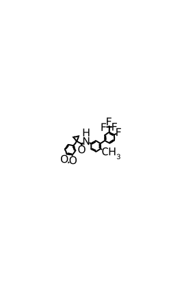 Cc1ccc(NC(=O)C2(c3ccc4c(c3)OCO4)CC2)cc1-c1ccc(F)c(C(F)(F)F)c1